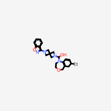 CCC1C=CC2=C(COCCN2C(O)N2CC3(CN(c4noc5ccccc45)C3)C2)C1